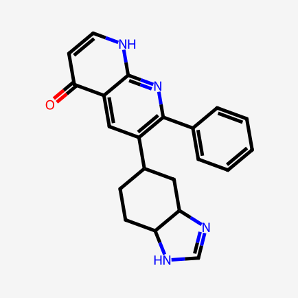 O=c1cc[nH]c2nc(-c3ccccc3)c(C3CCC4NC=NC4C3)cc12